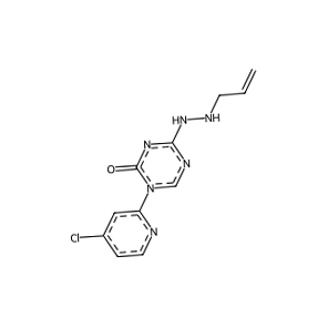 C=CCNNc1ncn(-c2cc(Cl)ccn2)c(=O)n1